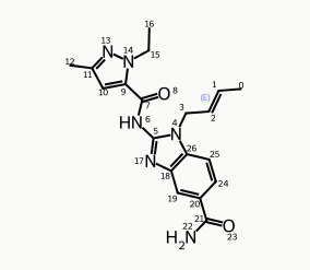 C/C=C/Cn1c(NC(=O)c2cc(C)nn2CC)nc2cc(C(N)=O)ccc21